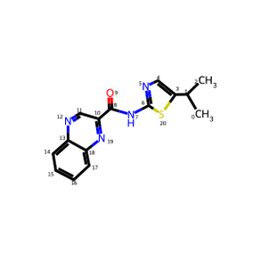 CC(C)c1cnc(NC(=O)c2cnc3ccccc3n2)s1